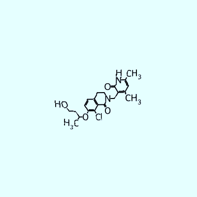 Cc1cc(C)c(CN2CCc3ccc(OC(C)CCO)c(Cl)c3C2=O)c(=O)[nH]1